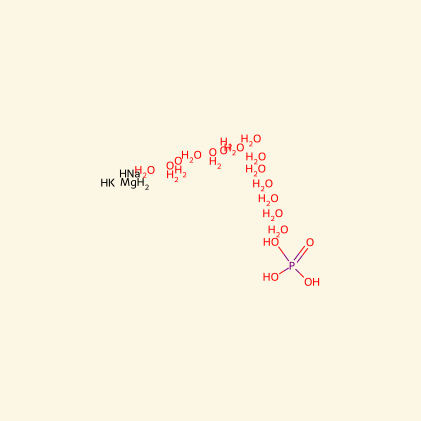 O.O.O.O.O.O.O.O.O.O.O.O.O.O.O=P(O)(O)O.[KH].[MgH2].[NaH]